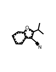 CC(C)c1oc2ccccc2c1C#N